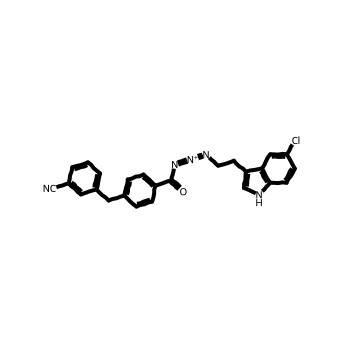 N#Cc1cccc(Cc2ccc(C(=O)N=[N+]=NCCc3c[nH]c4ccc(Cl)cc34)cc2)c1